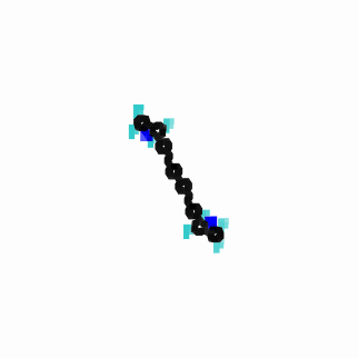 FC1=CC(F)(c2ccc(C=Cc3ccc(-c4ccc(C=Cc5ccc(C6(F)C=C(F)C=C7C6=Nc6c(F)cc(F)cc67)cc5)cc4)cc3)cc2)C2=Nc3c(F)cc(F)cc3C2=C1